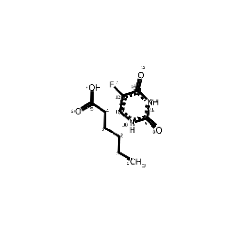 CCCCCC(=O)O.O=c1[nH]cc(F)c(=O)[nH]1